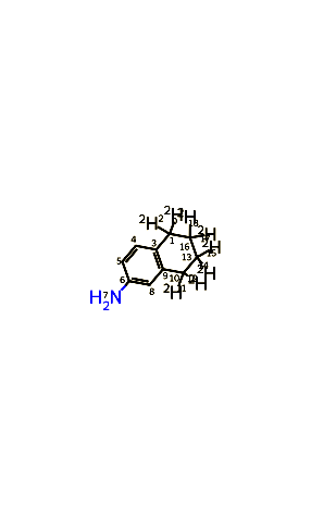 [2H]C1([2H])c2ccc(N)cc2C([2H])([2H])C([2H])([2H])C1([2H])[2H]